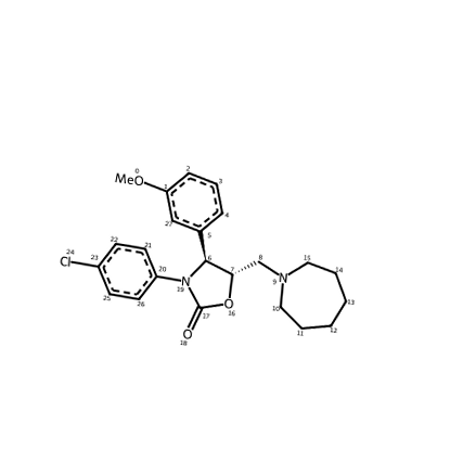 COc1cccc([C@H]2[C@H](CN3CCCCCC3)OC(=O)N2c2ccc(Cl)cc2)c1